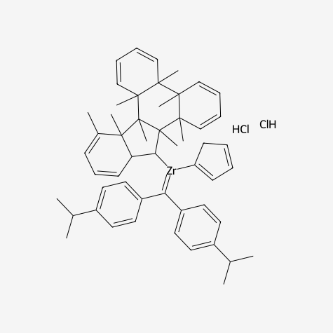 CC1=CC=CC2[CH]([Zr]([C]3=CC=CC3)=[C](c3ccc(C(C)C)cc3)c3ccc(C(C)C)cc3)C3(C)C4(C)C=CC=CC4(C)C4(C)C=CC=CC4(C)C3(C)C12C.Cl.Cl